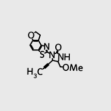 CC#CC1C(COC)NC(=O)N1c1nc2c3c(ccc2s1)OCC3